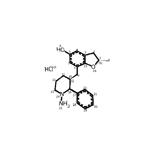 C[C@H]1Cc2cc(O)cc(C[C@@H]3CCCN(N)C3c3ccccc3)c2O1.Cl